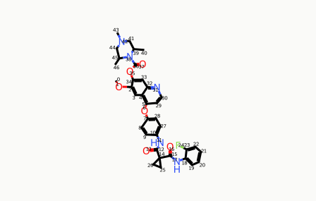 COc1cc2c(Oc3ccc(NC(=O)C4(C(=O)Nc5ccccc5F)CC4)cc3)ccnc2cc1OC(=O)N1C(C)CN(C)CC1C